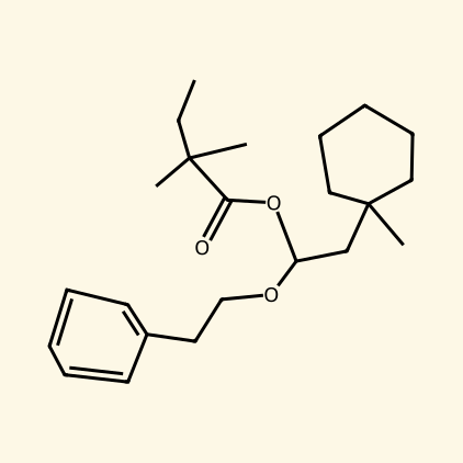 CCC(C)(C)C(=O)OC(CC1(C)CCCCC1)OCCc1ccccc1